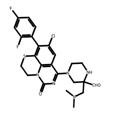 CN(C)CC1(C=O)CN(c2nc(=O)n3c4c(c(-c5ccc(F)cc5F)c(Cl)cc24)SCC3)CCN1